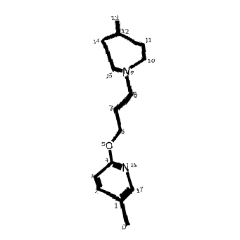 Cc1ccc(OCCCN2CCC(C)CC2)nc1